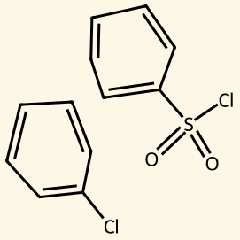 Clc1ccccc1.O=S(=O)(Cl)c1ccccc1